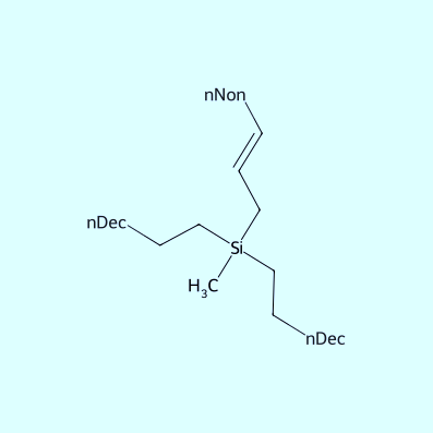 CCCCCCCCCC=CC[Si](C)(CCCCCCCCCCCC)CCCCCCCCCCCC